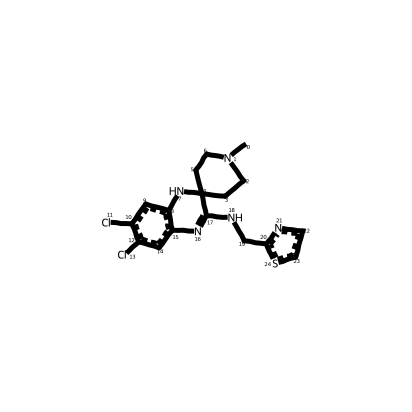 CN1CCC2(CC1)Nc1cc(Cl)c(Cl)cc1N=C2NCc1nccs1